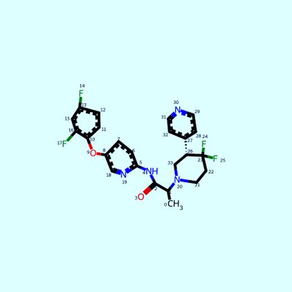 CC(C(=O)Nc1ccc(Oc2ccc(F)cc2F)cn1)N1CCC(F)(F)[C@@H](c2ccncc2)C1